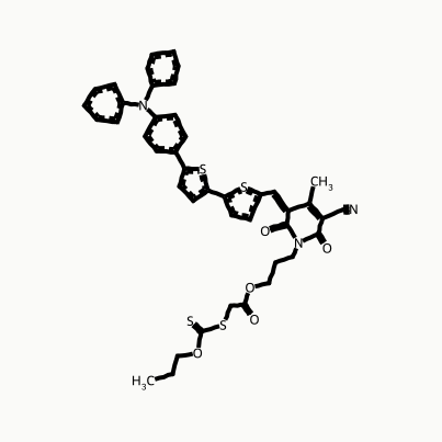 CCCOC(=S)SCC(=O)OCCCN1C(=O)C(=Cc2ccc(-c3ccc(-c4ccc(N(c5ccccc5)c5ccccc5)cc4)s3)s2)C(C)=C(C#N)C1=O